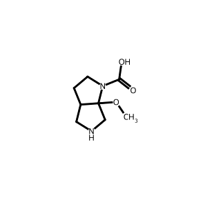 COC12CNCC1CCN2C(=O)O